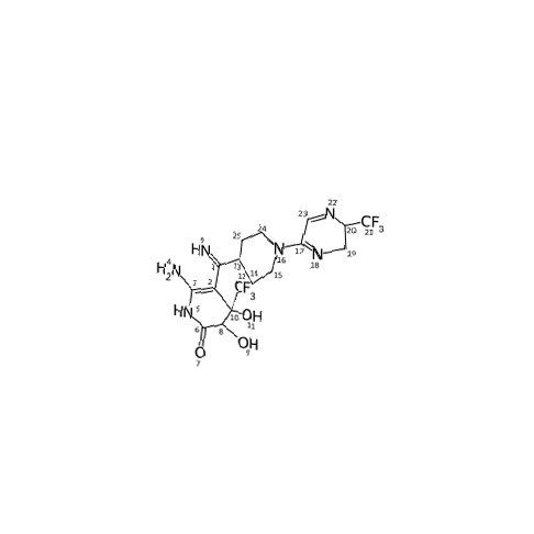 N=C(C1=C(N)NC(=O)C(O)C1(O)C(F)(F)F)C1CCN(C2=NCC(C(F)(F)F)N=C2)CC1